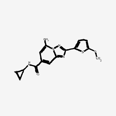 COc1ccc(-c2nc3cc(C(=O)NC4CC4)cc(N)n3n2)s1